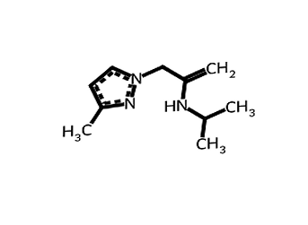 C=C(Cn1ccc(C)n1)NC(C)C